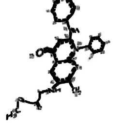 COC(=O)CNc1cc2c(=O)cc(Nc3ccccc3)n(-c3ccccc3)c2nc1C